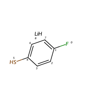 Fc1ccc(S)cc1.[LiH]